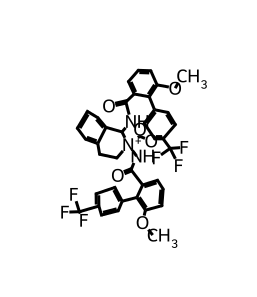 COc1cccc(C(=O)NC2c3ccccc3CC[N+]2(NC(=O)c2cccc(OC)c2-c2ccc(C(F)(F)F)cc2)C(=O)[O-])c1-c1ccc(C(F)(F)F)cc1